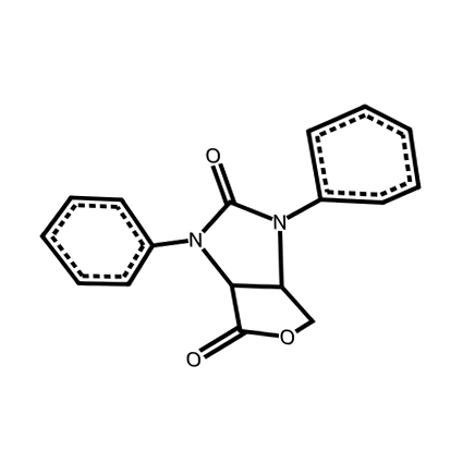 O=C1OCC2C1N(c1ccccc1)C(=O)N2c1ccccc1